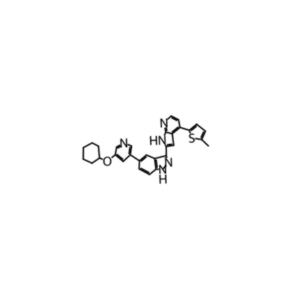 Cc1ccc(-c2ccnc3[nH]c(-c4n[nH]c5ccc(-c6cncc(OC7CCCCC7)c6)cc45)cc23)s1